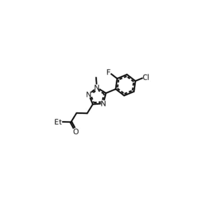 CCC(=O)CCc1nc(-c2ccc(Cl)cc2F)n(C)n1